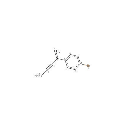 C=C(C#CCCCCCC)c1ccc(Br)cc1